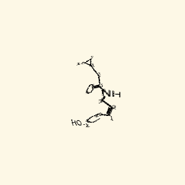 O=C(O)/C=C\CNC(=O)CC1CC1